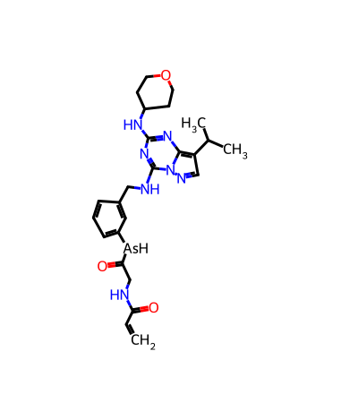 C=CC(=O)NCC(=O)[AsH]c1cccc(CNc2nc(NC3CCOCC3)nc3c(C(C)C)cnn23)c1